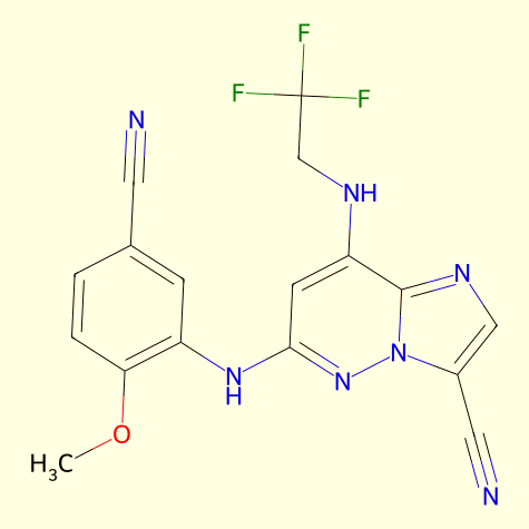 COc1ccc(C#N)cc1Nc1cc(NCC(F)(F)F)c2ncc(C#N)n2n1